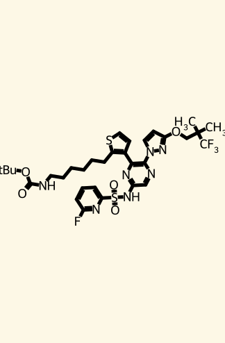 CC(C)(C)OC(=O)NCCCCCCc1sccc1-c1nc(NS(=O)(=O)c2cccc(F)n2)cnc1-n1ccc(OCC(C)(C)C(F)(F)F)n1